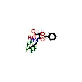 C[C@@](OCc1ccccc1)(C(=O)O)C(=O)NCC(F)(F)C(F)(F)F